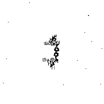 CC(C)(C)OC(=O)N1[C@@H]2C[C@@H]2C[C@H]1c1ncc(-c2ccc(-c3ccc(-c4cnc([C@@H]5C[C@H]6C[C@H]6N5C(=O)OC(C)(C)C)[nH]4)cc3)cc2)[nH]1